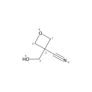 N#CC1(CO)COC1